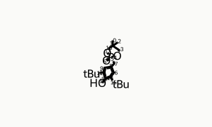 CC1(C)COP(=O)(Cc2cc(C(C)(C)C)c(O)c(C(C)(C)C)c2)OC1